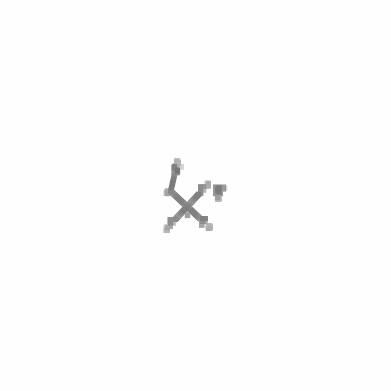 FC(F)(F)C[S-].[K+]